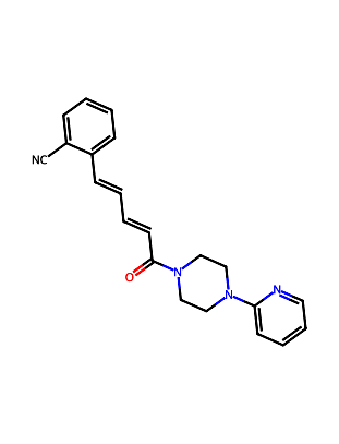 N#Cc1ccccc1C=CC=CC(=O)N1CCN(c2ccccn2)CC1